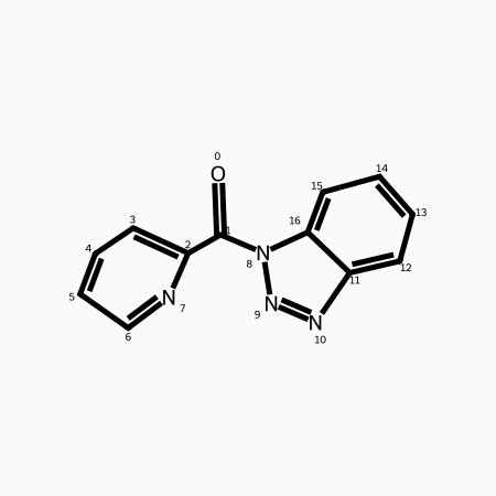 O=C(c1ccccn1)n1nnc2ccccc21